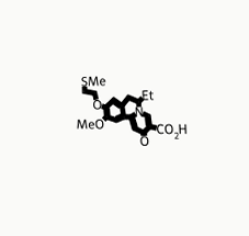 CCC1Cc2cc(OCCSC)c(OC)cc2-c2cc(=O)c(C(=O)O)cn21